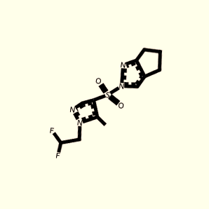 Cc1c(S(=O)(=O)n2cc3c(n2)CCC3)cnn1CC(F)F